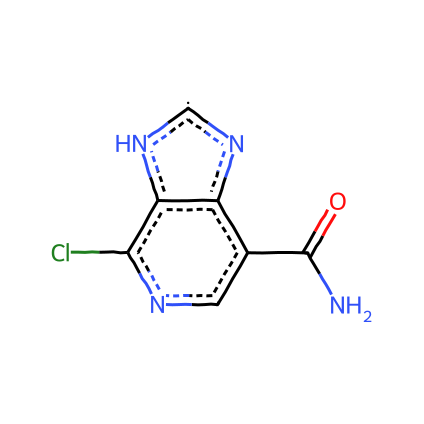 NC(=O)c1cnc(Cl)c2[nH][c]nc12